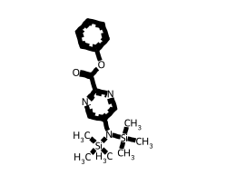 C[Si](C)(C)N(c1cnc(C(=O)Oc2ccccc2)nc1)[Si](C)(C)C